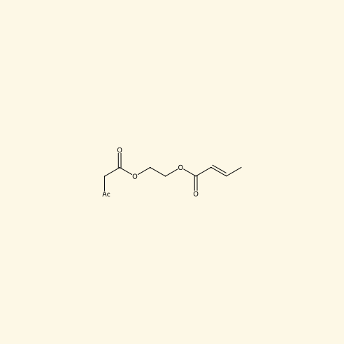 CC=CC(=O)OCCOC(=O)CC(C)=O